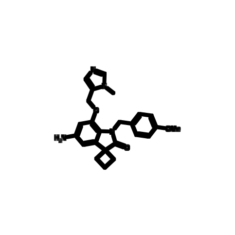 COc1ccc(CN2C(=O)C3(CCC3)c3cc(N)cc(OCc4cncn4C)c32)cc1